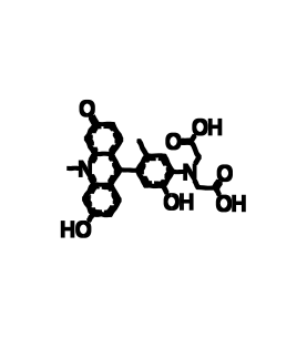 Cc1cc(N(CC(=O)O)CC(=O)O)c(O)cc1-c1c2ccc(=O)cc-2n(C)c2cc(O)ccc12